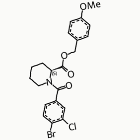 COc1ccc(COC(=O)[C@@H]2CCCCN2C(=O)c2ccc(Br)c(Cl)c2)cc1